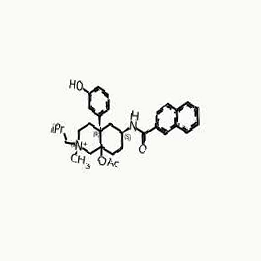 CC(=O)OC12CC[C@H](NC(=O)c3ccc4ccccc4c3)C[C@@]1(c1cccc(O)c1)CC[N@@+](C)(CC(C)C)C2